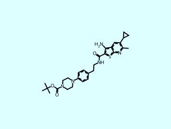 Cc1nc2sc(C(=O)NCCc3ccc(N4CCN(C(=O)OC(C)(C)C)CC4)cc3)c(N)c2cc1C1CC1